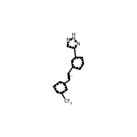 FC(F)(F)c1cccc(/C=C/c2cccc(-c3cn[nH]n3)c2)c1